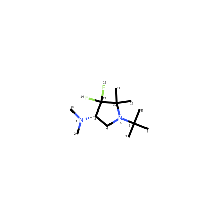 CN(C)[C@H]1CN(C(C)(C)C)C(C)(C)C1(F)F